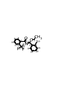 CCOC(=NC(=O)c1ccccc1C(F)(F)F)c1ccccc1I